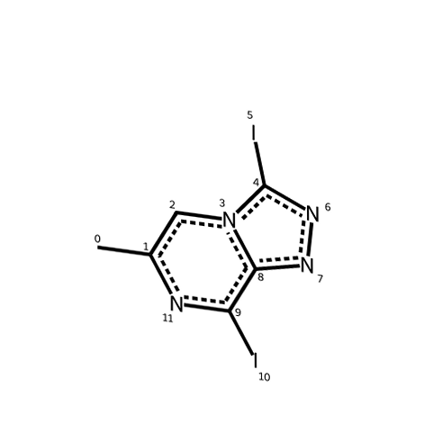 Cc1cn2c(I)nnc2c(I)n1